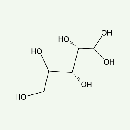 OCC(O)[C@@H](O)[C@H](O)C(O)O